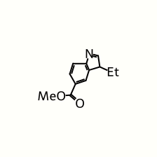 CCC1C=Nc2ccc(C(=O)OC)cc21